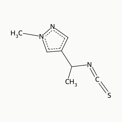 CC(N=C=S)c1cnn(C)c1